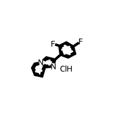 Cl.Fc1ccc(-c2cn3ccccc3n2)c(F)c1